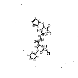 COC(=O)[C@H](Cc1ccccc1)NC(=O)CNC(=O)[C@H](CCc1ccccc1)NC(=O)CCl